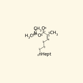 CCCCCCCCCCC=C(C)C(=O)ON(C)C